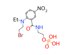 [CH2]CN(CCBr)c1ccc([N+](=O)[O-])cc1C(=O)NCCOP(=O)(O)O